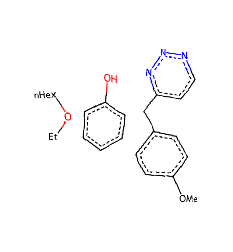 CCCCCCOCC.COc1ccc(Cc2ccnnn2)cc1.Oc1ccccc1